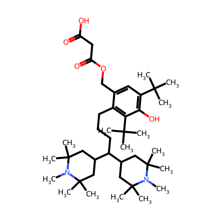 CN1C(C)(C)CC(C(CCCc2c(COC(=O)CC(=O)O)cc(C(C)(C)C)c(O)c2C(C)(C)C)C2CC(C)(C)N(C)C(C)(C)C2)CC1(C)C